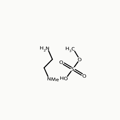 CNCCN.COS(=O)(=O)O